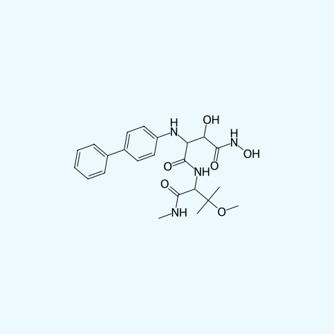 CNC(=O)C(NC(=O)C(Nc1ccc(-c2ccccc2)cc1)C(O)C(=O)NO)C(C)(C)OC